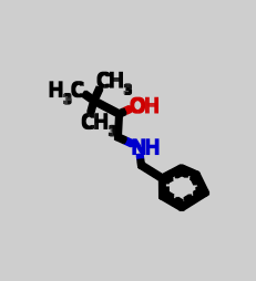 CC(C)(C)C(O)CNCc1ccccc1